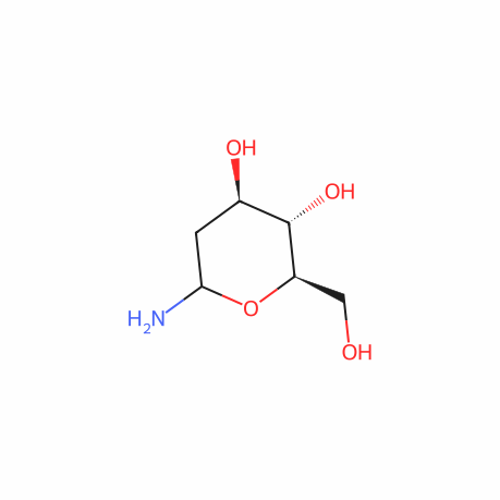 NC1C[C@@H](O)[C@H](O)[C@@H](CO)O1